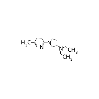 CCN(CC)C1CCN(c2ccc(C)cn2)C1